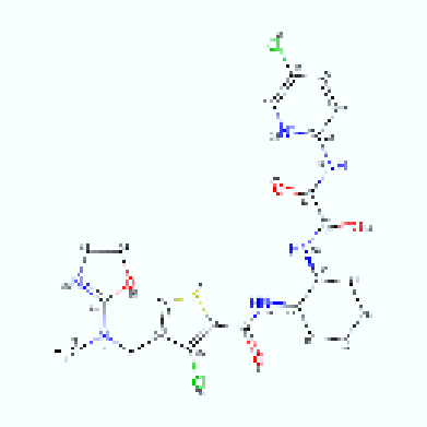 CN(Cc1csc(C(=O)N[C@@H]2CCCC[C@@H]2NC(=O)C(=O)Nc2ccc(Cl)cn2)c1Cl)C1=NCCO1